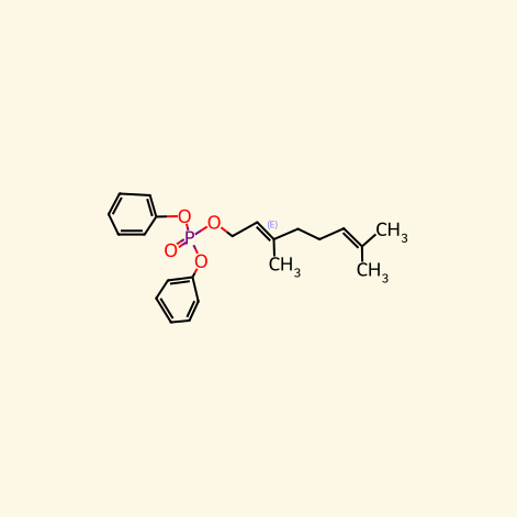 CC(C)=CCC/C(C)=C/COP(=O)(Oc1ccccc1)Oc1ccccc1